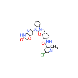 Cc1ncc(Cl)cc1C(=O)NC1CCC(Cn2c(=O)n(-c3cnc4c(c3)OCC(=O)N4)c3ccccc32)CC1